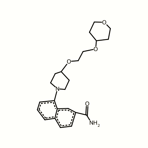 NC(=O)c1ccc2cccc(N3CCC(OCCOC4CCOCC4)CC3)c2c1